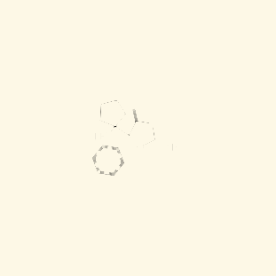 CC(C)(C)[C@H]1OC(=O)[C@](c2ccccc2)(C2(O)CCCC2)O1